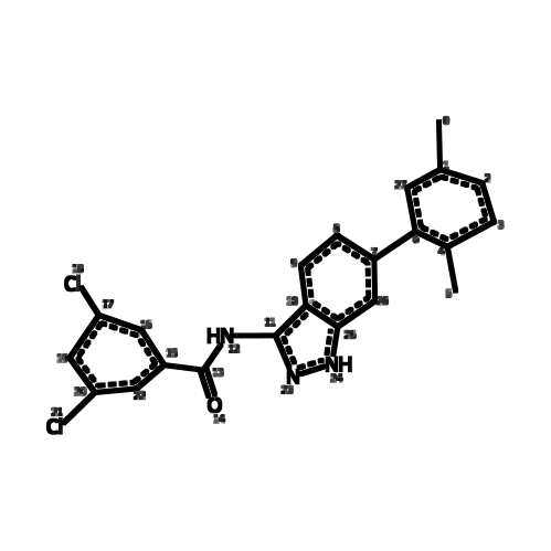 Cc1ccc(C)c(-c2ccc3c(NC(=O)c4cc(Cl)cc(Cl)c4)n[nH]c3c2)c1